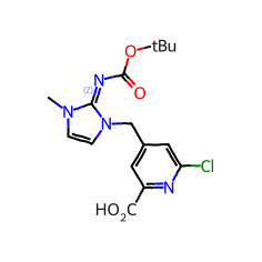 Cn1ccn(Cc2cc(Cl)nc(C(=O)O)c2)/c1=N\C(=O)OC(C)(C)C